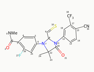 CNC(=O)c1ccc(N2C(C=S)N(c3ccc(C#N)c(C(F)(F)F)c3)C(=O)C2(C)C)cc1F